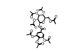 CC(=O)OC[C@H]1O[C@@H](NC(=O)c2cc(OC(C)=O)c(OC(C)=O)c(OC(C)=O)c2)[C@H](OC(C)=O)[C@@H](OC(C)=O)[C@@H]1OC(C)=O